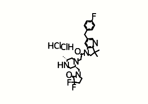 C[C@@H]1CN(CC(=O)N2CC(C)(C)c3ncc(Cc4ccc(F)cc4)cc32)[C@@H](CN2CCC(F)(F)C2=O)CN1.Cl.Cl